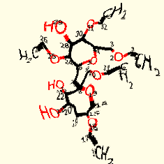 C=COCC1OC(CC2(COC=C)OCC(OC=C)CC(O)C2O)C(OC=C)C(O)C1OC=C